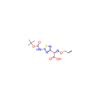 C=CCON=C(C(=O)O)c1nsc(NC(=O)OC(C)(C)C)n1